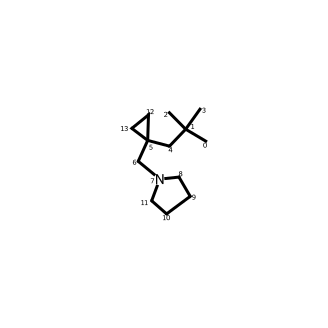 CC(C)(C)CC1(CN2CCCC2)CC1